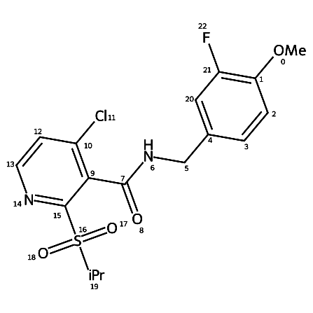 COc1ccc(CNC(=O)c2c(Cl)ccnc2S(=O)(=O)C(C)C)cc1F